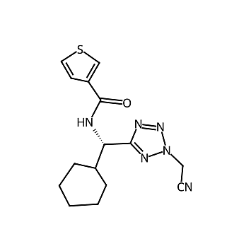 N#CCn1nnc([C@@H](NC(=O)c2ccsc2)C2CCCCC2)n1